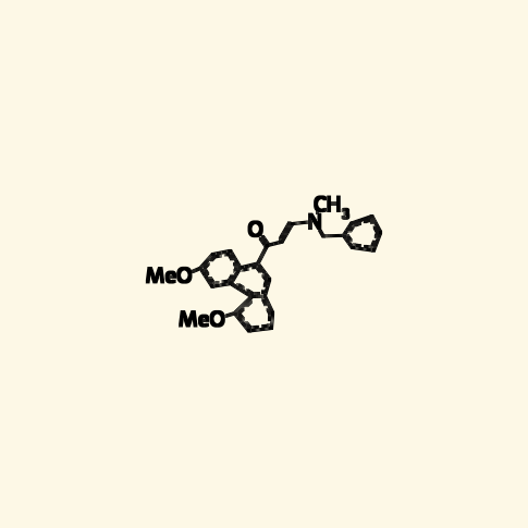 COc1ccc2c(C(=O)C=CN(C)Cc3ccccc3)cc3cccc(OC)c3c2c1